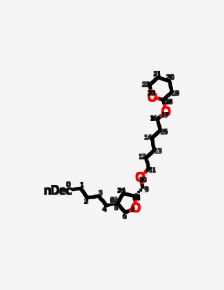 CCCCCCCCCCCCCC[C@@H]1CO[C@@H](COCCCCCCOC2CCCCO2)C1